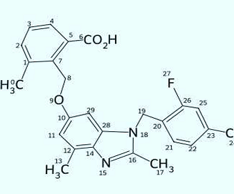 Cc1cccc(C(=O)O)c1COc1cc(C)c2nc(C)n(Cc3ccc(C#N)cc3F)c2c1